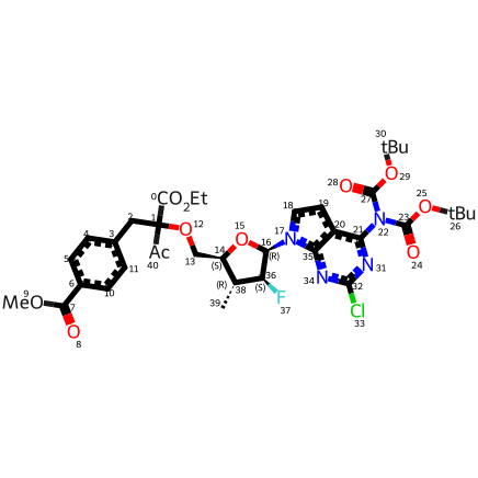 CCOC(=O)C(Cc1ccc(C(=O)OC)cc1)(OC[C@H]1O[C@@H](n2ccc3c(N(C(=O)OC(C)(C)C)C(=O)OC(C)(C)C)nc(Cl)nc32)[C@@H](F)[C@@H]1C)C(C)=O